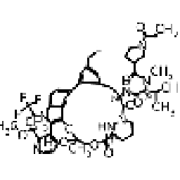 C=CC(=O)N1CCC(C(=O)N(C)[C@H](C(=O)N[C@H]2Cc3cc(CF)cc(c3)-c3ccc4c(c3)c(c(-c3cccnc3[C@H](C)OC)n4CC(F)(F)F)CC(C)(C)COC(=O)[C@@H]3CCCN(N3)C2=O)C(C)C)C1